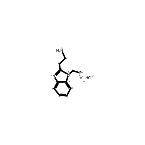 CC(C)Cn1c(CCN)nc2ccccc21.Cl.Cl